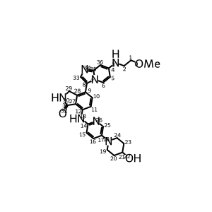 COCCNc1ccn2c(-c3ccc(Nc4ccc(N5CCC(O)CC5)cn4)c4c3CNC4=O)cnc2c1